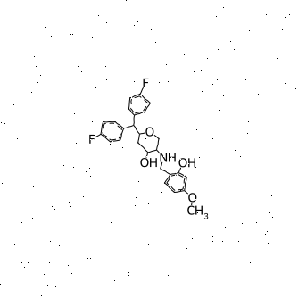 COc1ccc(CNC2COC(C(c3ccc(F)cc3)c3ccc(F)cc3)CC2O)c(O)c1